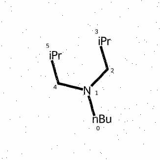 [CH2]CCCN(CC(C)C)CC(C)C